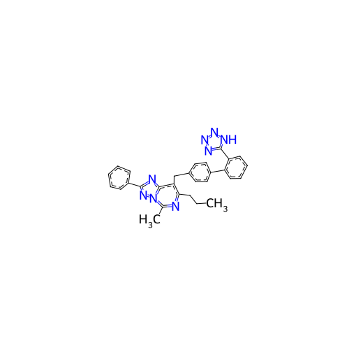 CCCc1nc(C)n2nc(-c3ccccc3)nc2c1Cc1ccc(-c2ccccc2-c2nnn[nH]2)cc1